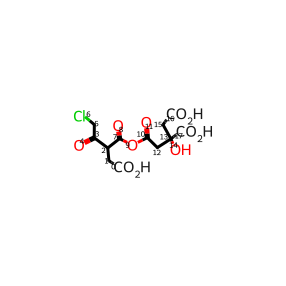 O=C(O)CC(C(=O)CCl)C(=O)OC(=O)CC(O)(CC(=O)O)C(=O)O